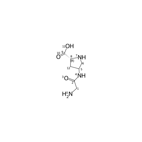 NCC(=O)NC1CN[C@@H](C(=O)O)C1